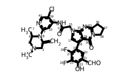 C=C1CN(C)CC(C)N1c1cc(NC(=O)Cn2cc(-c3cc(C=O)c(O)c(F)c3F)c3c(=O)n4c(nc32)CCC4)c(Cl)cn1